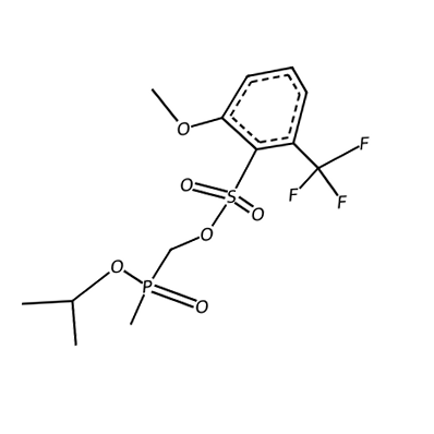 COc1cccc(C(F)(F)F)c1S(=O)(=O)OCP(C)(=O)OC(C)C